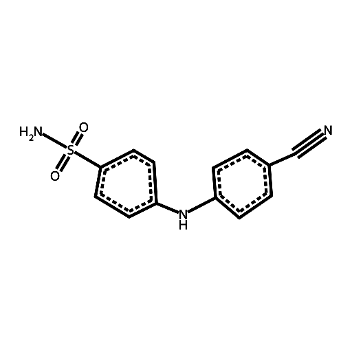 N#Cc1ccc(Nc2ccc(S(N)(=O)=O)cc2)cc1